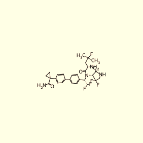 CC(C)(F)C[C@H](N)C(=O)N([C@@H](c1ccc(-c2ccc(C3(C(N)=O)CC3)cc2)cc1)C(F)F)[C@@H]1C(=O)NCC1(F)F